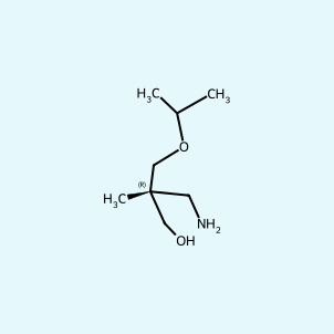 CC(C)OC[C@](C)(CN)CO